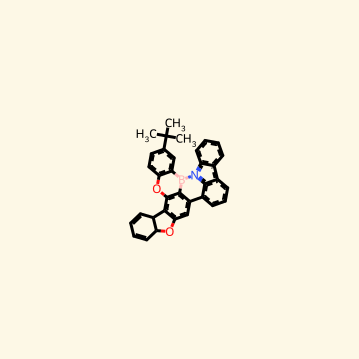 CC(C)(C)c1ccc2c(c1)B1c3c(cc4c(c3O2)C2C=CC=CC2O4)-c2cccc3c4ccccc4n1c23